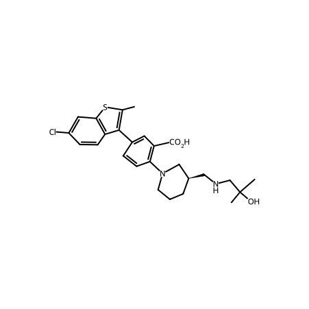 Cc1sc2cc(Cl)ccc2c1-c1ccc(N2CCC[C@H](CNCC(C)(C)O)C2)c(C(=O)O)c1